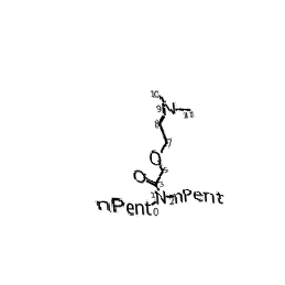 CCCCCN(CCCCC)C(=O)COCCN(C)C